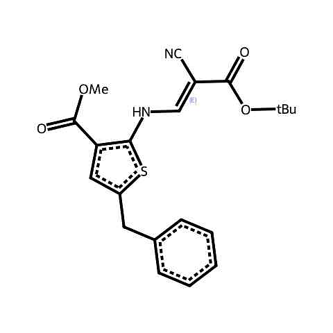 COC(=O)c1cc(Cc2ccccc2)sc1N/C=C(\C#N)C(=O)OC(C)(C)C